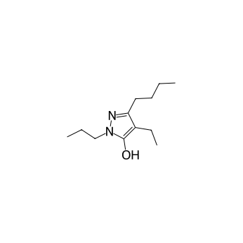 CCCCc1nn(CCC)c(O)c1CC